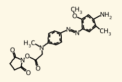 COc1cc(N)c(C)cc1/N=N/c1ccc(N(C)CC(=O)ON2C(=O)CCC2=O)cc1